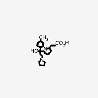 Cc1ccc(C(O)(CCN2CCCC2)c2cccc(C=CC(=O)O)n2)cc1